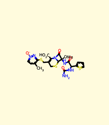 CO[C@]1(NC(=O)C(NC(N)=O)c2cccs2)C(=O)N2C(C(=O)O)=C(CSc3n[n+]([O-])ccc3C)CSC21